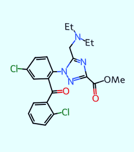 CCN(CC)Cc1nc(C(=O)OC)nn1-c1ccc(Cl)cc1C(=O)c1ccccc1Cl